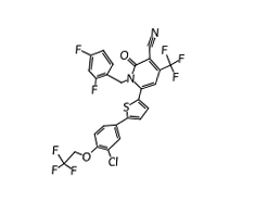 N#Cc1c(C(F)(F)F)cc(-c2ccc(-c3ccc(OCC(F)(F)F)c(Cl)c3)s2)n(Cc2ccc(F)cc2F)c1=O